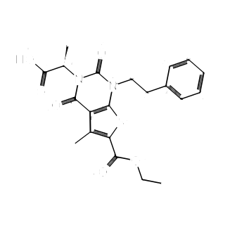 CCOC(=O)c1sc2c(c1C)c(=O)n([C@H](C)C(=O)O)c(=O)n2CCc1ccccc1